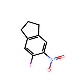 O=[N+]([O-])c1cc2c(cc1I)CCC2